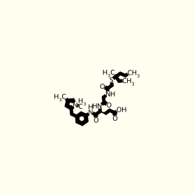 CCCC(C)(CC)SCC(=O)NCC(=O)N[C@@H](CCC(=O)O)C(=O)Nc1cccc(Cc2cc(C)cn2C)c1